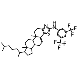 CC(C)CCCC(C)C1CCC2C3CC=C4c5sc(Nc6cc(C(F)(F)F)cc(C(F)(F)F)c6)nc5CCC4(C)C3CCC12C